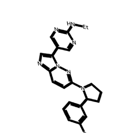 CCNc1ncc(-c2cnc3ccc(N4CCCC4c4cccc(F)c4)nn23)cn1